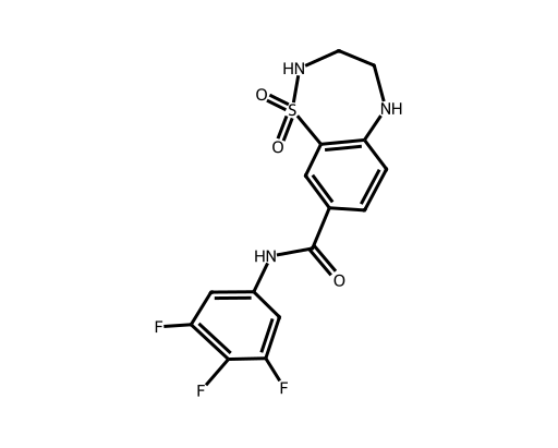 O=C(Nc1cc(F)c(F)c(F)c1)c1ccc2c(c1)S(=O)(=O)NCCN2